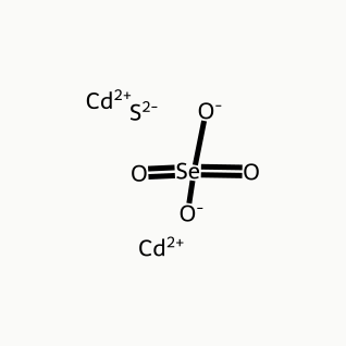 O=[Se](=O)([O-])[O-].[Cd+2].[Cd+2].[S-2]